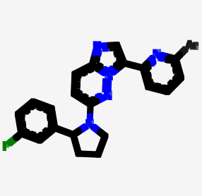 CC(=O)c1cccc(-c2cnc3ccc(N4CCCC4c4cccc(F)c4)nn23)n1